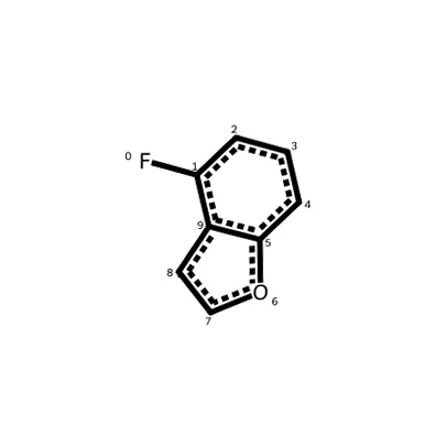 Fc1cccc2oc[c]c12